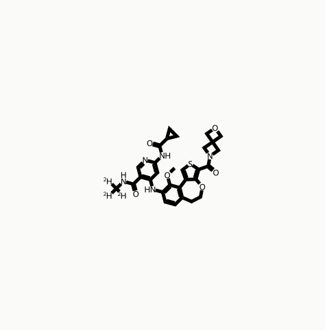 [2H]C([2H])([2H])NC(=O)c1cnc(NC(=O)C2CC2)cc1Nc1ccc2c(c1OC)-c1csc(C(=O)N3CC4(COC4)C3)c1OCC2